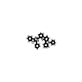 c1ccc(-c2nc(-c3cccc4c3sc3c4ccc4c3c3ccccc3n4-c3ccccc3)nc3c2oc2ccccc23)cc1